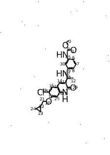 COC(=O)Nc1cccc(N[C@@H](C)c2cc3cc(Cl)c(OCC4CC4)cc3[nH]c2=O)c1